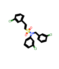 O=S(=O)(C=Cc1cccc(Cl)c1)N(Cc1cccc(Cl)c1)c1cccc(Cl)c1